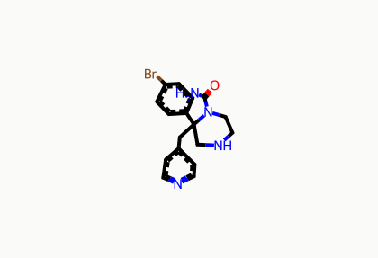 NC(=O)N1CCNCC1(Cc1ccncc1)c1ccc(Br)cc1